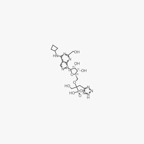 O=P(O)(O)C(CO)(Cc1nn[nH]n1)OC[C@H]1O[C@@H](n2ncc3c(NC4CCC4)nc(CO)nc32)[C@H](O)[C@@H]1O